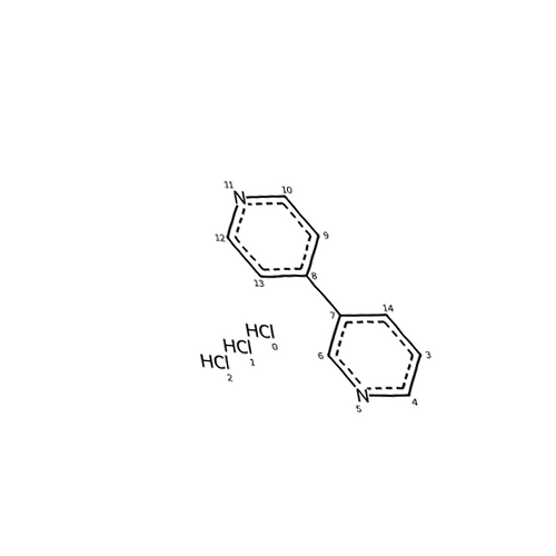 Cl.Cl.Cl.c1cncc(-c2ccncc2)c1